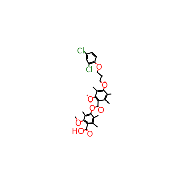 COc1c(C)c(OC(=O)c2c(C)c(C)c(OCCCOc3ccc(Cl)cc3Cl)c(C)c2OC)c(C)c(C)c1C(=O)O